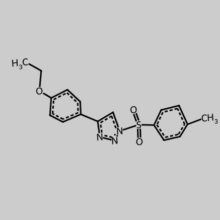 CCOc1ccc(-c2cn(S(=O)(=O)c3ccc(C)cc3)nn2)cc1